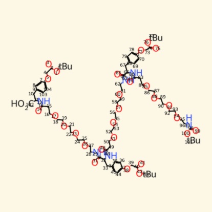 CC(C)(C)OC(=O)COc1ccc(CC(NC(=O)CCOCCOCCOCCOCCNC(=O)C(Cc2ccc(OCC(=O)OC(C)(C)C)cc2)NC(=O)CCOCCOCCOCCOCCNC(=O)C(Cc2ccc(OCC(=O)OC(C)(C)C)cc2)NC(=O)CCOCCOCCOCCOCCNC(=O)OC(C)(C)C)C(=O)O)cc1